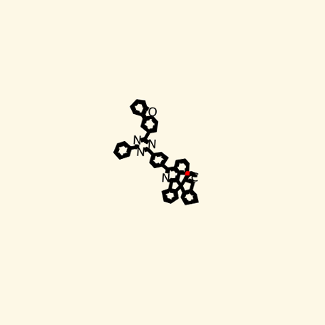 c1ccc(-c2nc(-c3ccc(-c4nc5c(c6ccccc46)C4(c6ccccc6-c6ccccc64)c4ccccc4-5)cc3)nc(-c3ccc4oc5ccccc5c4c3)n2)cc1